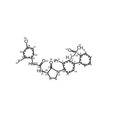 CC(C)c1cc(-c2ccccc2P(C)(C)=O)ccc1N1CC[C@@H](NC(=O)Nc2ccc(Cl)cc2F)C1=O